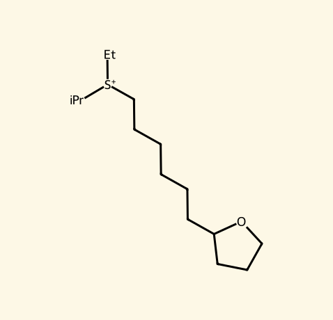 CC[S+](CCCCCCC1CCCO1)C(C)C